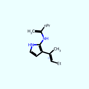 C=C(CCC)Nc1[nH]ccc1/C(C)=C/CC